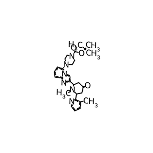 Cc1cccnc1C1CC(=O)CC(c2cn3c(N4CCN(C(=O)OC(C)(C)C)CC4)cccc3n2)N1C